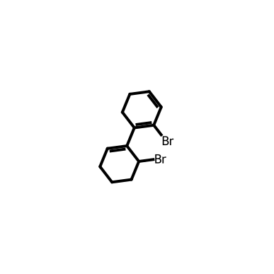 BrC1=C(C2=CCCCC2Br)CCC=C1